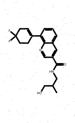 CC(CO)CNC(=O)c1cnc2c(C3=CCC(F)(F)CC3)cccc2c1